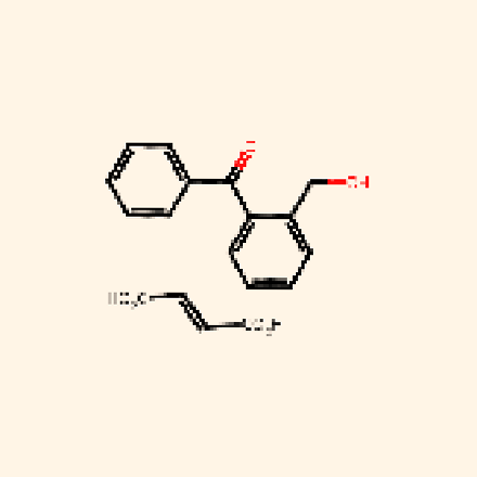 O=C(O)C=CC(=O)O.O=C(c1ccccc1)c1ccccc1CO